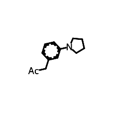 CC(=O)Cc1cccc(N2CCCC2)c1